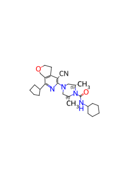 C[C@@H]1CN(c2nc(C3CCCC3)c3c(c2C#N)CCOC3)C[C@H](C)N1C(=O)NC1CCCCC1